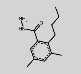 CCCCc1c(C)cc(C)cc1C(=O)NN